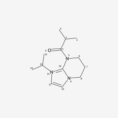 CC(C)C(=O)N1CCCn2cc[n+](C(C)C)c21